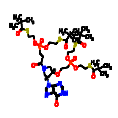 CC(C)(C)C(=O)SCCOP(=O)(CCO[C@@H]1CN(C(=O)CCP(=O)(OCCSC(=O)C(C)(C)C)OCCSC(=O)C(C)(C)C)C[C@H]1n1cnc2c(=O)[nH]cnc21)OCCSC(=O)C(C)(C)C